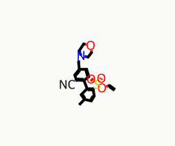 C=COS(=O)(=O)c1ccc(C)cc1-c1ccc(CN2CCOCC2)cc1C#N